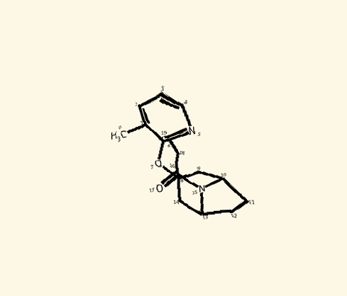 Cc1cccnc1OC1CC2CCC(C1)N2C(=O)CCl